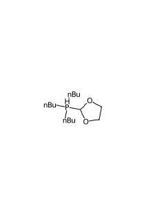 CCCC[PH](CCCC)(CCCC)C1OCCO1